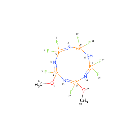 COP1(F)=NP(F)(F)=N[PH](F)(F)NP(F)(F)=NP(F)(OC)=N1